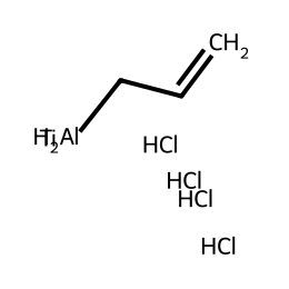 C=C[CH2][AlH2].Cl.Cl.Cl.Cl.[Ti]